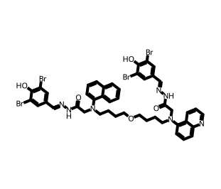 O=C(CN(CCCCOCCCCN(CC(=O)N/N=C/c1cc(Br)c(O)c(Br)c1)c1cccc2ncccc12)c1cccc2ccccc12)N/N=C/c1cc(Br)c(O)c(Br)c1